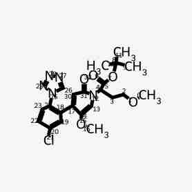 COCCC(C(=O)OC(C)(C)C)n1cc(OC)c(-c2cc(Cl)ccc2-n2cnnn2)cc1=O